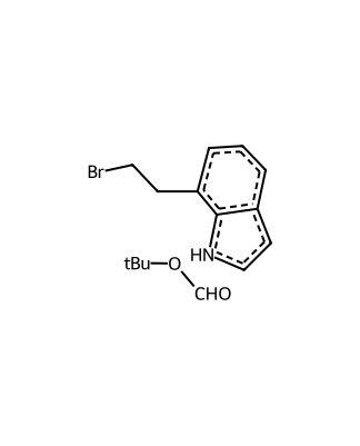 BrCCc1cccc2cc[nH]c12.CC(C)(C)OC=O